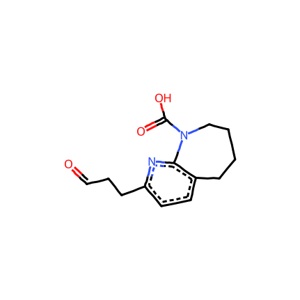 O=CCCc1ccc2c(n1)N(C(=O)O)CCCC2